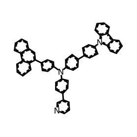 c1cncc(-c2ccc(N(c3ccc(-c4ccc(-n5c6ccccc6c6ccccc65)cc4)cc3)c3ccc(-c4cc5ccccc5c5ccccc45)cc3)cc2)c1